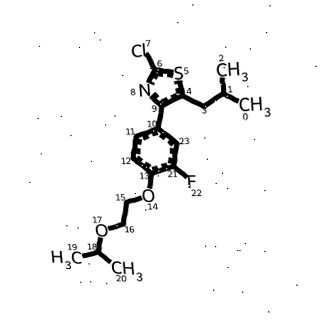 CC(C)Cc1sc(Cl)nc1-c1ccc(OCCOC(C)C)c(F)c1